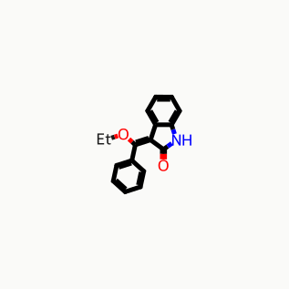 CCO/C(=C1/C(=O)Nc2ccccc21)c1ccccc1